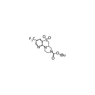 CC(C)(C)OC(=O)N1CCN2c3ncc(C(F)(F)F)cc3S(=O)(=O)CC2C1